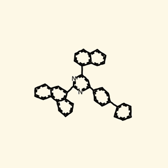 c1ccc(-c2ccc(-c3cc(-c4cccc5ccccc45)nc(-c4cc5ccccc5c5ccccc45)n3)cc2)cc1